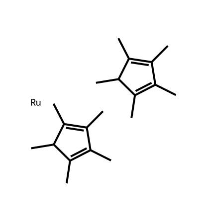 CC1=C(C)C(C)C(C)=C1C.CC1=C(C)C(C)C(C)=C1C.[Ru]